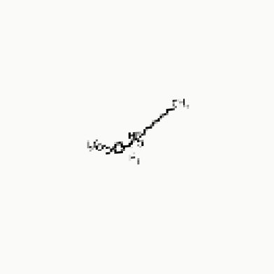 CCCCCCCCCCNC(=O)C=C(C)c1ccc(OCOC)cc1